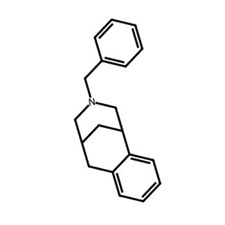 c1ccc(CN2CC3Cc4ccccc4C(C3)C2)cc1